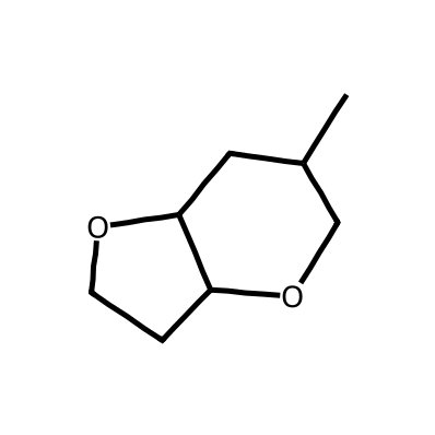 CC1COC2CCOC2C1